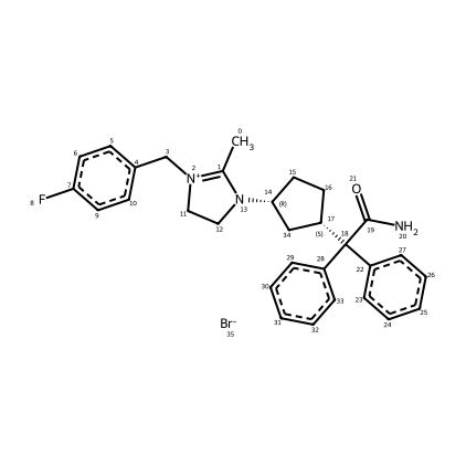 CC1=[N+](Cc2ccc(F)cc2)CCN1[C@@H]1CC[C@H](C(C(N)=O)(c2ccccc2)c2ccccc2)C1.[Br-]